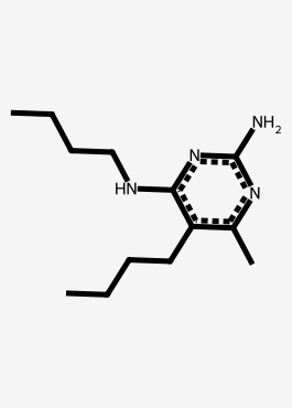 CCCCNc1nc(N)nc(C)c1CCCC